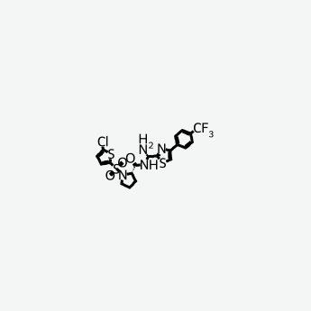 N[C@H](NC(=O)[C@@H]1CCCN1S(=O)(=O)c1ccc(Cl)s1)c1nc(-c2ccc(C(F)(F)F)cc2)cs1